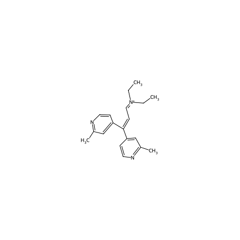 CC[N+](=CC=C(c1ccnc(C)c1)c1ccnc(C)c1)CC